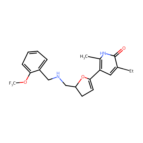 CCc1cc(C2=CCC(CNCc3ccccc3OC(F)(F)F)O2)c(C)[nH]c1=O